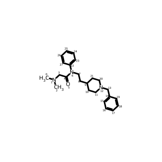 CN(C)CC(=O)N(CCC1CCN(Cc2ccccc2)CC1)c1ccccc1